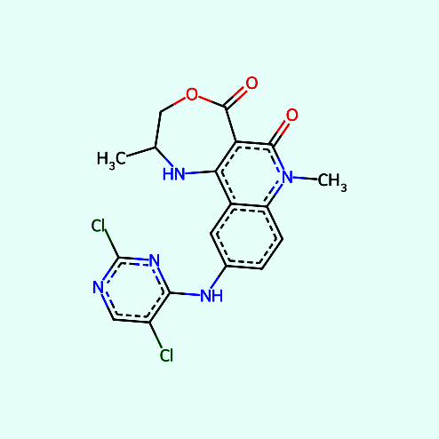 CC1COC(=O)c2c(c3cc(Nc4nc(Cl)ncc4Cl)ccc3n(C)c2=O)N1